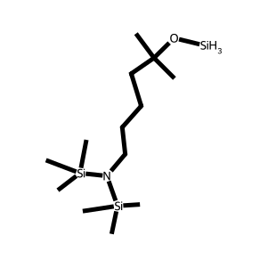 CC(C)(CCCCN([Si](C)(C)C)[Si](C)(C)C)O[SiH3]